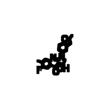 Cc1cc2cc(N3CC[C@@]4(O)C(=O)c5cc(F)c(C)cc5N=C34)ccc2o1